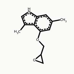 Cc1cc(OCC2CO2)c2c(C)c[nH]c2c1